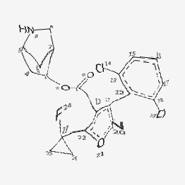 O=C(OC1CC2CC1CN2)c1c(-c2c(Cl)cccc2Cl)noc1C1(F)CC1